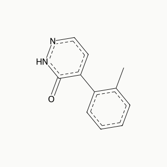 Cc1ccccc1-c1ccn[nH]c1=O